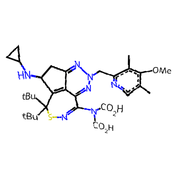 COc1c(C)cnc(CN2N=C3CC(NC4CC4)C4=C3C(=N2)C(N(C(=O)O)C(=O)O)=NSC4(C(C)(C)C)C(C)(C)C)c1C